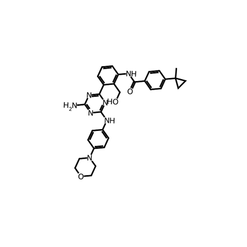 CC1(c2ccc(C(=O)Nc3cccc(-c4nc(N)nc(Nc5ccc(N6CCOCC6)cc5)n4)c3CO)cc2)CC1